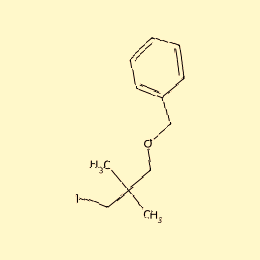 CC(C)(CI)COCc1ccccc1